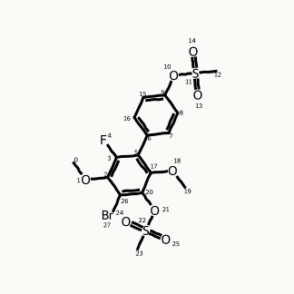 COc1c(F)c(-c2ccc(OS(C)(=O)=O)cc2)c(OC)c(OS(C)(=O)=O)c1Br